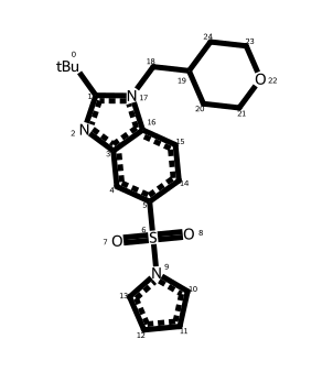 CC(C)(C)c1nc2cc(S(=O)(=O)n3cccc3)ccc2n1CC1CCOCC1